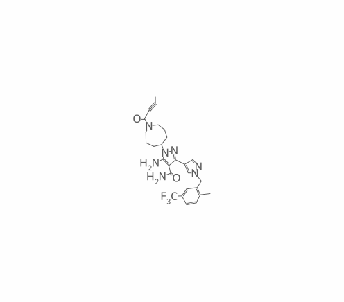 CC#CC(=O)N1CCCC(n2nc(-c3cnn(Cc4cc(C(F)(F)F)ccc4C)c3)c(C(N)=O)c2N)CCC1